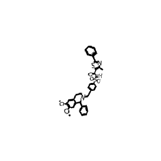 COc1cc2c(cc1OC)C(c1ccccc1)N(Cc1ccc(S(=O)(=O)NC(=O)c3sc(-c4ccccc4)nc3C)cc1)CC2